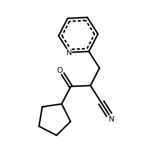 N#CC(Cc1ccccn1)C(=O)C1CCCC1